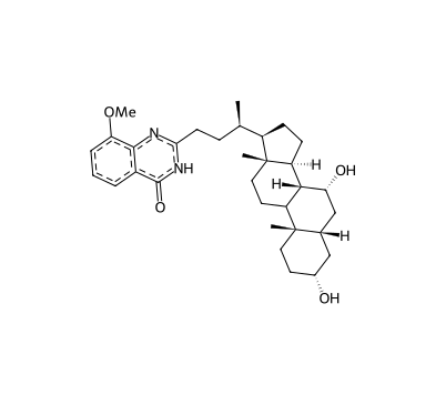 COc1cccc2c(=O)[nH]c(CC[C@@H](C)[C@H]3CC[C@H]4[C@H]5C(CC[C@]34C)[C@@]3(C)CC[C@@H](O)C[C@H]3C[C@H]5O)nc12